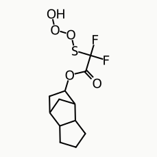 O=C(OC1CC2CC1C1CCCC21)C(F)(F)SOOO